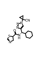 N#CC1(n2cc([C@@H](NC(=O)C3CN=CS3)C3CCCCC3)nn2)CC1